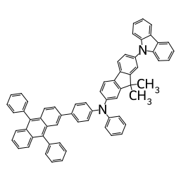 CC1(C)c2cc(N(c3ccccc3)c3ccc(-c4ccc5c(-c6ccccc6)c6ccccc6c(-c6ccccc6)c5c4)cc3)ccc2-c2ccc(-n3c4ccccc4c4ccccc43)cc21